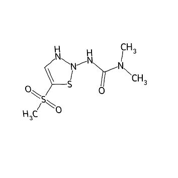 CN(C)C(=O)NN1NC=C(S(C)(=O)=O)S1